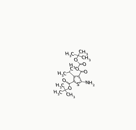 CC(C)c1c(C(=O)OC(C)(C)C)sc(N)c1C(=O)OC(=O)OC(C)(C)C